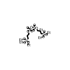 CCO[Si](CCCOS(=O)(=O)OS(=O)(=O)OCCC[Si](OCC)(OCC)OCC)(OCC)OCC